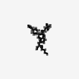 CCCCOC(CC)Cn1ccc2nc(OCCC(F)(F)F)c(-c3ccc(C#N)cc3)cc21